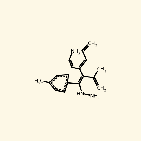 C=C/C=C(\C=C/N)C(/C(=C)C)=C(/NN)c1ccc(C)cc1